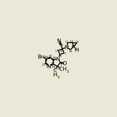 CC1(C)C(=O)N(C2CC(C#N)(N3CC4C[C@@H]4C3)C2)c2cc(Br)cnc21